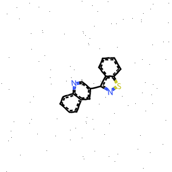 [c]1nc2ccccc2cc1-c1nsc2ccccc12